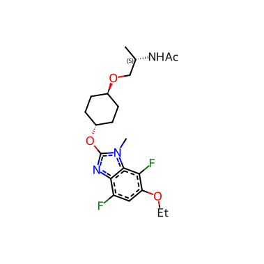 CCOc1cc(F)c2nc(O[C@H]3CC[C@H](OC[C@H](C)NC(C)=O)CC3)n(C)c2c1F